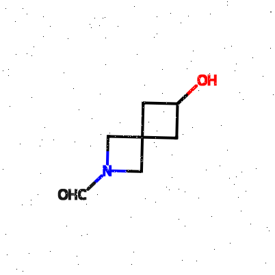 O=CN1CC2(CC(O)C2)C1